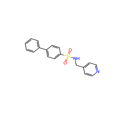 O=S(=O)(NCc1ccncc1)c1ccc(-c2ccccc2)cc1